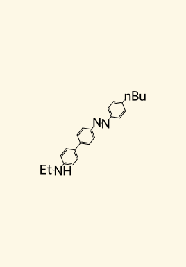 CCCCc1ccc(N=Nc2ccc(-c3ccc(NCC)cc3)cc2)cc1